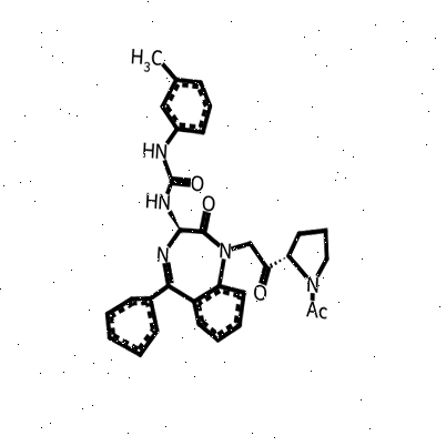 CC(=O)N1CCC[C@H]1C(=O)CN1C(=O)[C@H](NC(=O)Nc2cccc(C)c2)N=C(c2ccccc2)c2ccccc21